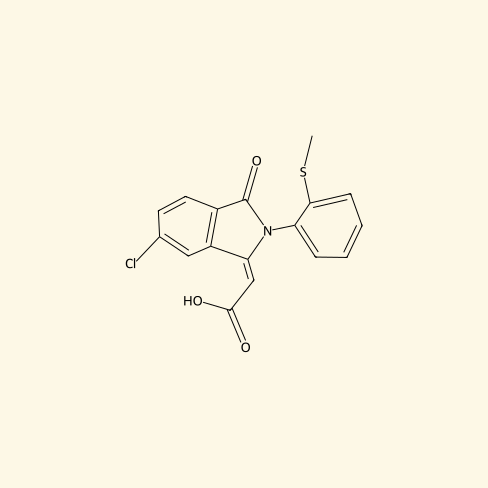 CSc1ccccc1N1C(=O)c2ccc(Cl)cc2C1=CC(=O)O